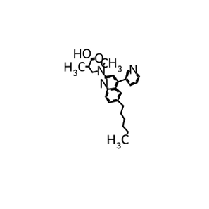 CCCCCCc1ccc2nc(N(C)CC(C)C(=O)O)cc(-c3cccnc3)c2c1